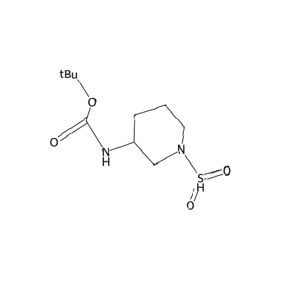 CC(C)(C)OC(=O)NC1CCCN([SH](=O)=O)C1